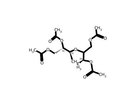 CC(=O)OCC(O[C@@H](C)[C@H](COC(C)=O)OC(C)=O)[C@H](C)OC(C)=O